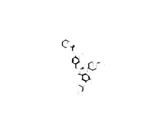 COc1cc(Cn2c(=O)c3cc(OC(CF)CF)c(F)cc3n(C3CCN(C=O)CC3)c2=O)ccc1OCC(=O)N1CCCCC1